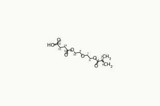 C=C(C)C(=O)OCCOCCOC(=O)CCC(=O)O